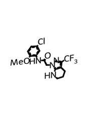 COc1ccc(Cl)cc1NC(=O)Cn1nc(C(F)(F)F)c2c1NCCC2